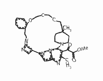 COC(=O)C(=O)c1c(C)nc2cc3nn2c1N1CCC(C)(CCCCCOc2ccccc2Cn2cc-3cn2)CC1